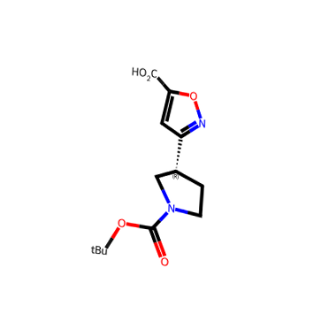 CC(C)(C)OC(=O)N1CC[C@@H](c2cc(C(=O)O)on2)C1